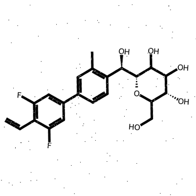 C=Cc1c(F)cc(-c2ccc([C@@H](O)[C@H]3OC(CO)[C@@H](O)C(O)C3O)c(C)c2)cc1F